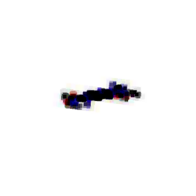 COC(=O)N[C@H](C(=O)NCCCCc1nc2ccc(-c3ccc4cc(-c5ccc6nc([C@@H]7CCCN7C(=O)[C@@H](NC(=O)OC)C(C)C)[nH]c6c5)cnc4c3)cc2[nH]1)C(C)C